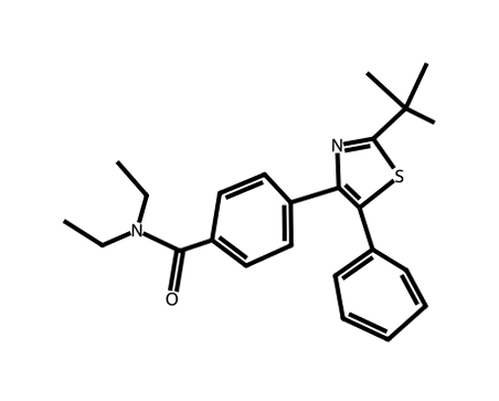 CCN(CC)C(=O)c1ccc(-c2nc(C(C)(C)C)sc2-c2ccccc2)cc1